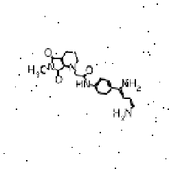 CN1C(=O)C2=C(C1=O)N(CC(=O)Nc1ccc(/C(N)=C/C=C\N)cc1)CCC2